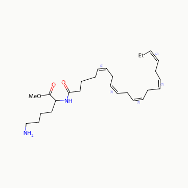 CC/C=C\C/C=C\C/C=C\C/C=C\C/C=C\CCCC(=O)NC(CCCCN)C(=O)OC